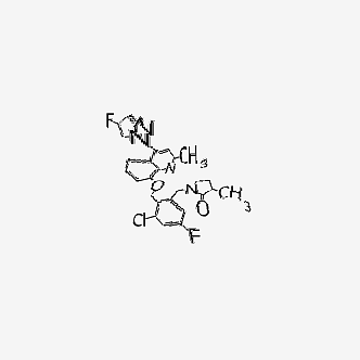 Cc1cc(-n2cc(F)cn2)c2cccc(OCc3c(Cl)cc(F)cc3CN3CCC(C)C3=O)c2n1